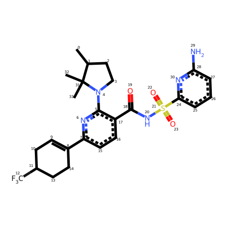 CC1CCN(c2nc(C3=CCC(C(F)(F)F)CC3)ccc2C(=O)NS(=O)(=O)c2cccc(N)n2)C1(C)C